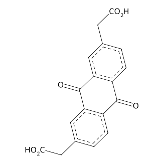 O=C(O)Cc1ccc2c(c1)C(=O)c1cc(CC(=O)O)ccc1C2=O